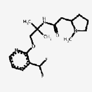 CN1CCCC1CC(=O)NC(C)(C)COc1ncccc1C(F)F